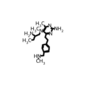 CCC(N)CN(C)c1c(C)nc(N)nc1CCc1ccc(CNC)cc1